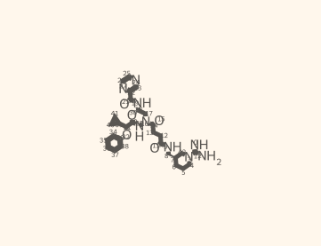 N=C(N)N1CCC[C@@H](CNC(=O)CCC(=O)N(CCNC(=O)c2cnccn2)NC(=O)C(Oc2ccccc2)C2CC2)C1